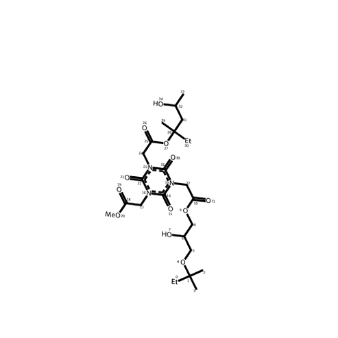 CCC(C)(C)OCC(O)COC(=O)Cn1c(=O)n(CC(=O)OC)c(=O)n(CC(=O)OC(C)(CC)CC(C)O)c1=O